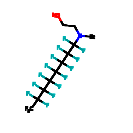 CCN(CCO)C(F)(F)C(F)(F)C(F)(F)C(F)(F)C(F)(F)C(F)(F)C(F)(F)C(F)(F)F